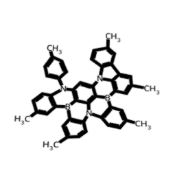 Cc1ccc(N2c3ccc(C)cc3B3c4cc(C)ccc4N4c5ccc(C)cc5B5c6c(cc2c3c64)-n2c3ccc(C)cc3c3cc(C)cc5c32)cc1